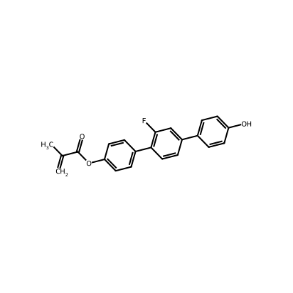 C=C(C)C(=O)Oc1ccc(-c2ccc(-c3ccc(O)cc3)cc2F)cc1